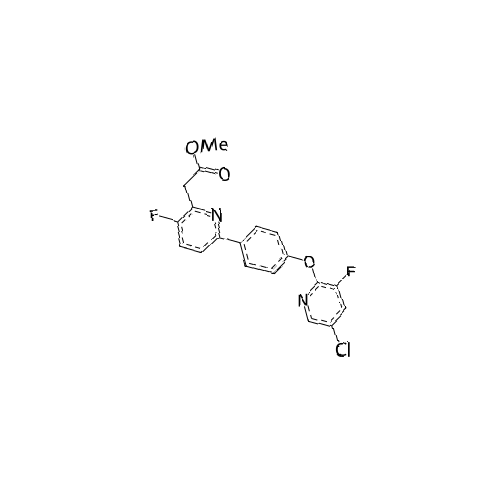 COC(=O)Cc1nc(-c2ccc(Oc3ncc(Cl)cc3F)cc2)ccc1F